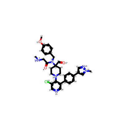 CNCC(=O)N(Cc1ccc(OC)cc1)C1(C=O)CCN(c2c(Cl)cncc2-c2ccc(-c3cnn(C)c3)cc2)CC1